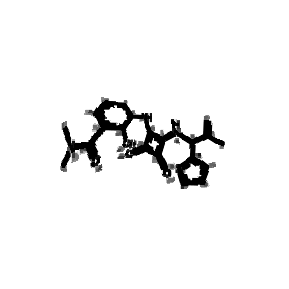 C=C(C)C(Nc1c(Nc2cccc(C(=O)N(C)C)c2O)c(=O)c1=O)c1cccs1